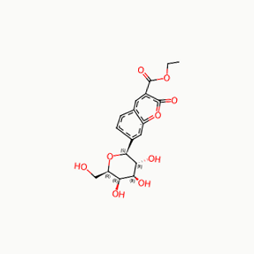 CCOC(=O)c1cc2ccc([C@@H]3O[C@H](CO)[C@H](O)[C@H](O)[C@H]3O)cc2oc1=O